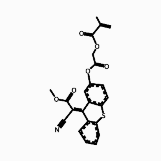 C=C(C)C(=O)OCC(=O)Oc1ccc2c(c1)/C(=C(/C#N)C(=O)OC)c1ccccc1S2